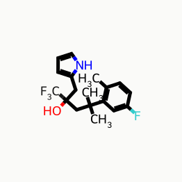 Cc1ccc(F)cc1C(C)(C)CC(O)(Cc1ccc[nH]1)C(F)(F)F